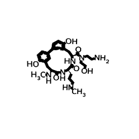 CNCCC[C@@H]1NC(=O)[C@@H](NC)Cc2cc(ccc2O)-c2ccc(O)c(c2)C[C@@H](C(=O)N(CCN)CCO)NC1=O